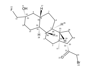 C[C@]12CC[C@H]3[C@@H](CC[C@H]4C[C@](O)(CF)CC[C@@H]43)[C@@H]1CC[C@@H]2C(=O)CBr